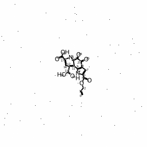 C=CCOC(=O)c1cc2c([nH]1)-c1c(C(=O)O)cc(C(=O)O)nc1C(=O)C2=O